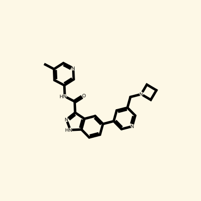 Cc1cncc(NC(=O)c2n[nH]c3ccc(-c4cncc(CN5CCC5)c4)cc23)c1